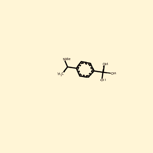 CNC(C)c1ccc(C(O)(O)O)cc1